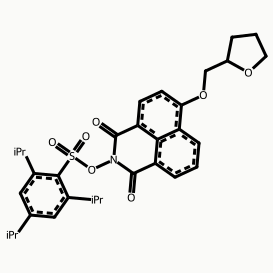 CC(C)c1cc(C(C)C)c(S(=O)(=O)ON2C(=O)c3cccc4c(OCC5CCCO5)ccc(c34)C2=O)c(C(C)C)c1